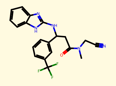 CN(CC#N)C(=O)CC(Nc1nc2ccccc2[nH]1)c1cccc(C(F)(F)F)c1